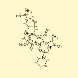 CC1C(=O)N(CC(=O)N2CCOCC2)C1c1nn(C(=O)C(C)(C)CO)c(NCc2ccc(C(=N)N)cc2)c1C#N